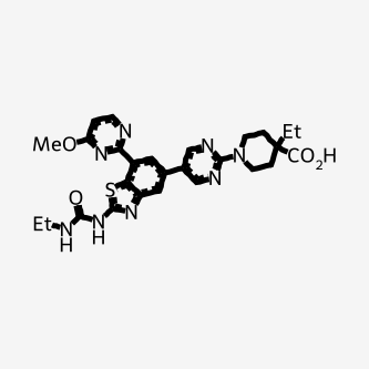 CCNC(=O)Nc1nc2cc(-c3cnc(N4CCC(CC)(C(=O)O)CC4)nc3)cc(-c3nccc(OC)n3)c2s1